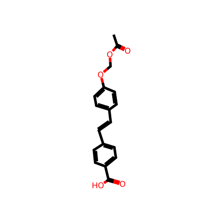 CC(=O)OCOc1ccc(C=Cc2ccc(C(=O)O)cc2)cc1